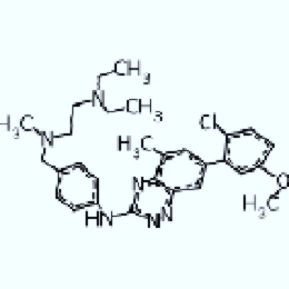 CCN(CC)CCN(C)Cc1ccc(Nc2nnc3cc(-c4cc(OC)ccc4Cl)cc(C)c3n2)cc1